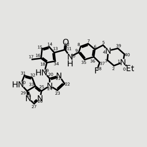 CCN1CCN(Cc2ccc(NC(=O)c3ccc(C)c(Nc4nccn4-c4ncnc5[nH]ccc45)c3)cc2CF)CC1